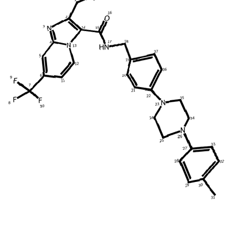 CCc1nc2cc(C(F)(F)F)ccn2c1C(=O)NCc1ccc(N2CCN(c3ccc(C)cc3)CC2)cc1